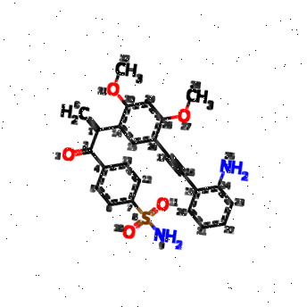 C=C(C(=O)c1ccc(S(N)(=O)=O)cc1)c1cc(C#Cc2ccccc2N)c(OC)cc1OC